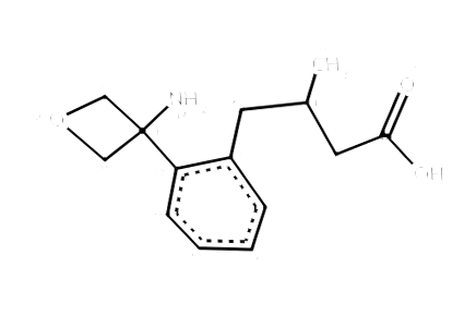 CC(CC(=O)O)Cc1ccccc1C1(N)COC1